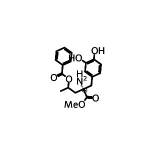 COC(=O)[C@](N)(Cc1ccc(O)c(O)c1)CC(C)OC(=O)c1ccccc1